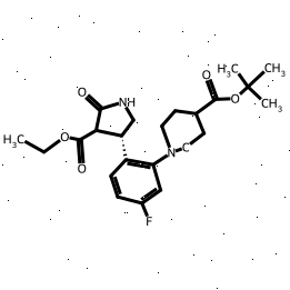 CCOC(=O)C1C(=O)NC[C@@H]1c1ccc(F)cc1N1CCC(C(=O)OC(C)(C)C)CC1